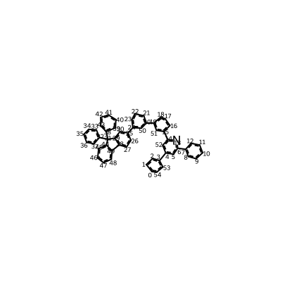 c1ccc(-c2cc(-c3ccccc3)nc(-c3cccc(-c4cccc(-c5ccc6c(c5)C(c5ccccc5)(c5ccccc5)c5ccccc5-6)c4)c3)c2)cc1